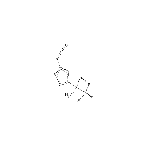 CC(C)(c1cc(N=C=O)no1)C(F)(F)F